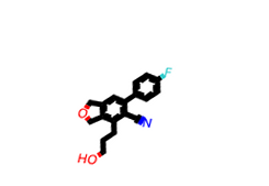 N#Cc1c(-c2ccc(F)cc2)cc2c(c1CCCO)COC2